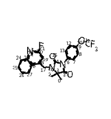 CC1(C)C(=O)N(c2ccc(OC(F)(F)F)cc2)C(=O)N1Cc1cc(F)nc2ccccc12